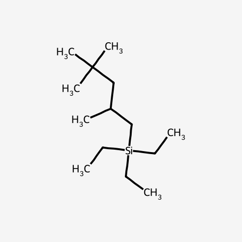 CC[Si](CC)(CC)CC(C)CC(C)(C)C